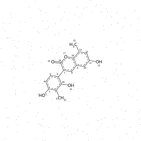 Cc1c(O)ccc(-c2cc3cc(O)cc(C)c3oc2=O)c1O